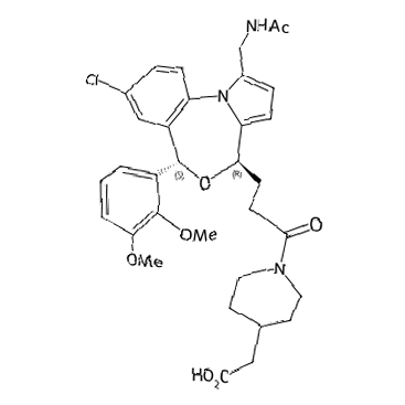 COc1cccc([C@H]2O[C@H](CCC(=O)N3CCC(CC(=O)O)CC3)c3ccc(CNC(C)=O)n3-c3ccc(Cl)cc32)c1OC